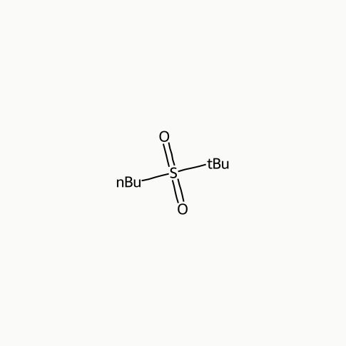 CCCCS(=O)(=O)C(C)(C)C